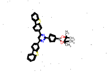 CC1(C)OB(c2ccc(-c3nc(-c4ccc5c(c4)sc4ccccc45)cc(-c4ccc5c(c4)sc4ccccc45)n3)cc2)OC1(C)C